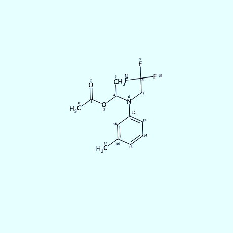 CC(=O)OC(C)N(CC(F)(F)F)c1cccc(C)c1